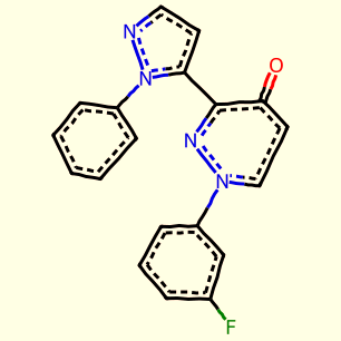 O=c1ccn(-c2cccc(F)c2)nc1-c1ccnn1-c1ccccc1